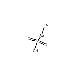 N#[C][Au][Se](=O)(=O)O